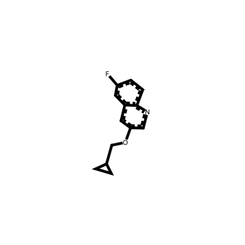 Fc1c[c]c2ncc(OCC3CC3)cc2c1